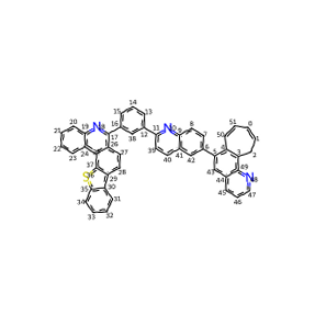 C1=CCc2c(c(-c3ccc4nc(-c5cccc(-c6nc7ccccc7c7c6ccc6c8ccccc8sc67)c5)ccc4c3)cc3cccnc23)C=C1